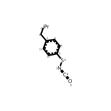 CC(C)Cc1ccc(SN=C=O)cc1